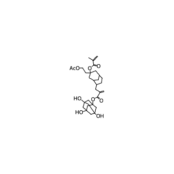 C=C(C)C(=O)OC1(CCOC(C)=O)CC2CCC(CC(=C)C(=O)OC34CC5(O)CC(O)(CC(O)(C5)C3)C4)C(C2)C1